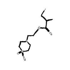 CC(CI)C(=O)OCCN1CCS(=O)(=O)CC1